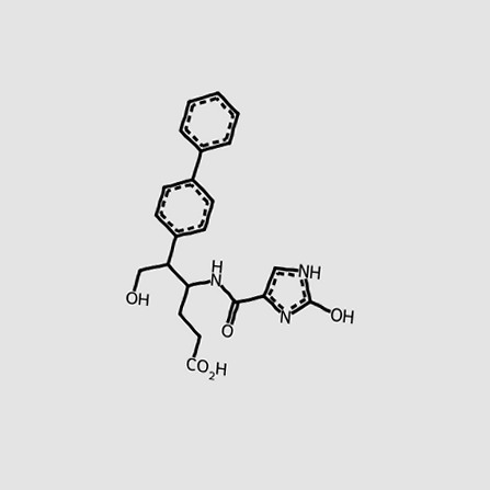 O=C(O)CCC(NC(=O)c1c[nH]c(O)n1)C(CO)c1ccc(-c2ccccc2)cc1